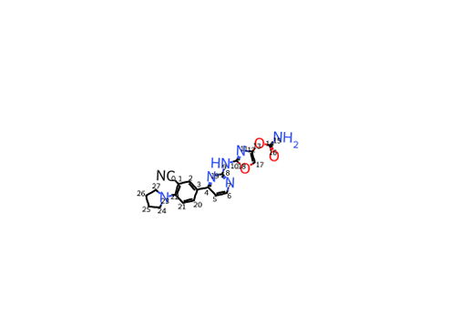 N#Cc1cc(-c2ccnc(Nc3nc(OC(N)=O)co3)n2)ccc1N1CCCC1